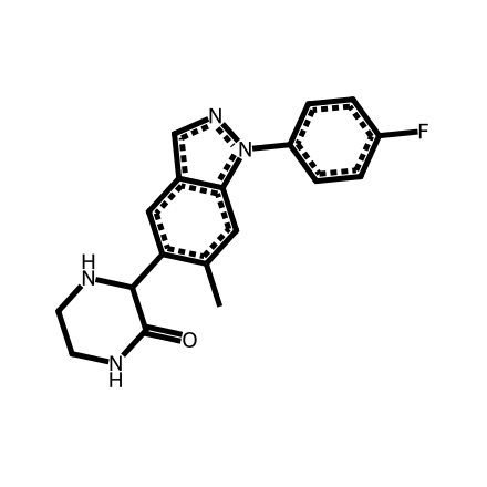 Cc1cc2c(cnn2-c2ccc(F)cc2)cc1C1NCCNC1=O